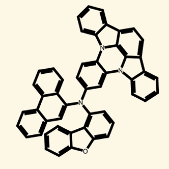 c1ccc2c(c1)cc(N(c1ccc3c(c1)n1c4ccccc4c4ccc5c6ccccc6n3c5c41)c1cccc3oc4ccccc4c13)c1ccccc12